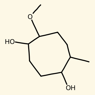 COC1CCC(C)C(O)CCC1O